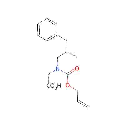 C=CCOC(=O)N(CC(=O)O)C[C@@H](C)Cc1ccccc1